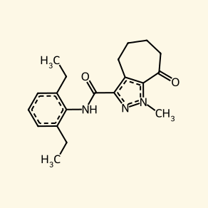 CCc1cccc(CC)c1NC(=O)c1nn(C)c2c1CCCCC2=O